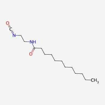 CCCCCCCCCCCC(=O)NCCN=C=O